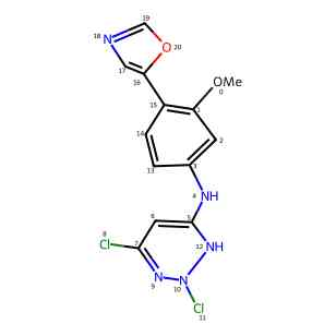 COc1cc(NC2=CC(Cl)=NN(Cl)N2)ccc1-c1cnco1